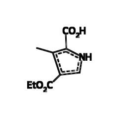 CCOC(=O)c1c[nH]c(C(=O)O)c1C